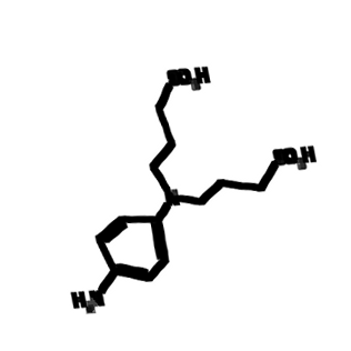 Nc1ccc(N(CCCS(=O)(=O)O)CCCS(=O)(=O)O)cc1